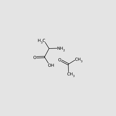 CC(C)=O.CC(N)C(=O)O